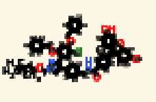 C[Si](C)(C)CCOCn1cc(-c2ccc(CNC(=O)c3ccc(-c4c5ccc(=O)cc-5oc5cc(O)ccc45)c(C(=O)O)c3)cc2)c(-c2cc(Cl)c(OCc3ccccc3)cc2OCc2ccccc2)n1